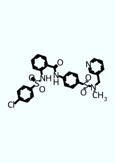 CN(Cc1cccnc1)S(=O)(=O)c1ccc(NC(=O)c2ccccc2NS(=O)(=O)c2ccc(Cl)cc2)cc1